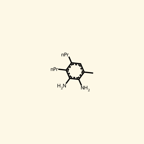 CCCc1cc(C)c(N)c(N)c1CCC